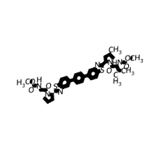 COC(=O)NCC(=O)N1CCC[C@H]1c1nc2cc(-c3ccc(-c4ccc5sc(C6C[C@H](C)CN6C(=O)[C@@H](NC(=O)OC)C(C)C)nc5c4)cc3)ccc2s1